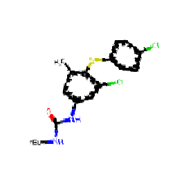 CCCCNC(=O)Nc1cc(C)c(Sc2ccc(Cl)cc2)c(Cl)c1